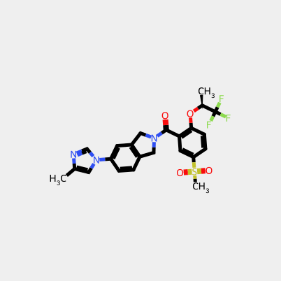 Cc1cn(-c2ccc3c(c2)CN(C(=O)c2cc(S(C)(=O)=O)ccc2O[C@@H](C)C(F)(F)F)C3)cn1